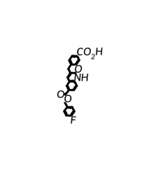 O=C(O)c1ccc(Cc2cc3cc(C(=O)OCc4ccc(F)cc4)ccc3[nH]c2=O)cc1